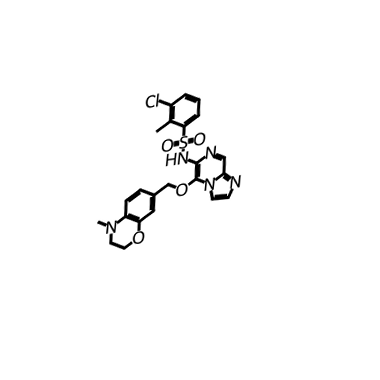 Cc1c(Cl)cccc1S(=O)(=O)Nc1ncc2nccn2c1OCc1ccc2c(c1)OCCN2C